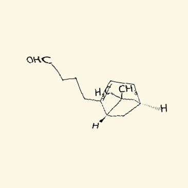 CC1(C)[C@H]2CC=C(CCCC=O)[C@H]1C2